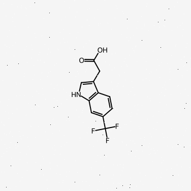 O=C(O)Cc1c[nH]c2cc(C(F)(F)F)ccc12